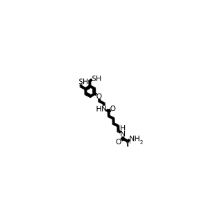 C[C@H](N)C(=O)NCCCCCC(=O)NCCOc1ccc(CS)c(CS)c1